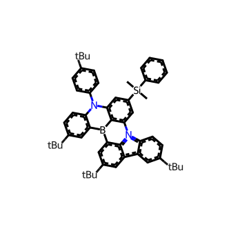 CC(C)(C)c1ccc(N2c3ccc(C(C)(C)C)cc3B3c4c2cc([Si](C)(C)c2ccccc2)cc4-n2c4ccc(C(C)(C)C)cc4c4cc(C(C)(C)C)cc3c42)cc1